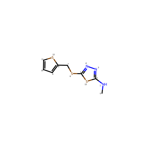 CNc1nnc(SCc2cccs2)s1